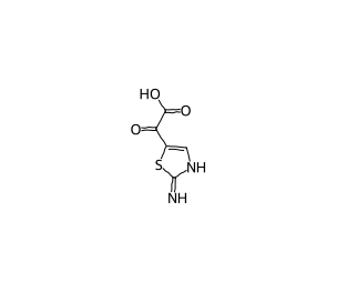 N=c1[nH]cc(C(=O)C(=O)O)s1